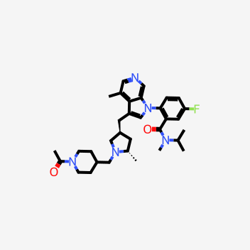 CC(=O)N1CCC(CN2C[C@@H](Cc3cn(-c4ccc(F)cc4C(=O)N(C)C(C)C)c4cncc(C)c34)C[C@@H]2C)CC1